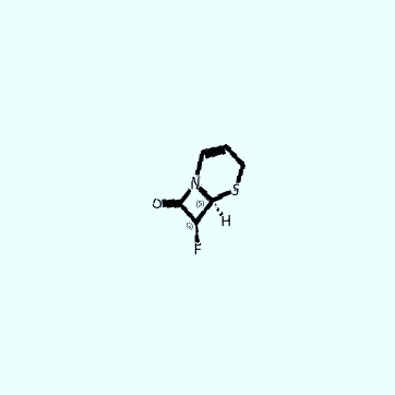 O=C1[C@H](F)[C@@H]2SCC=CN12